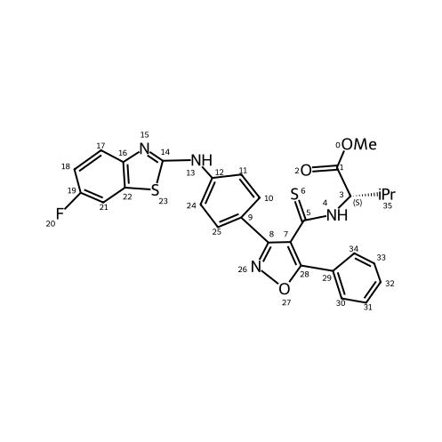 COC(=O)[C@@H](NC(=S)c1c(-c2ccc(Nc3nc4ccc(F)cc4s3)cc2)noc1-c1ccccc1)C(C)C